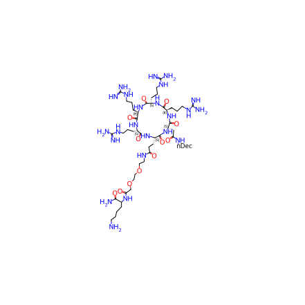 CCCCCCCCCCNC(=O)C[C@@H]1NC(=O)[C@H](CCC(=O)NCCOCCOCC(=O)NC(CCCCN)C(N)=O)NC(=O)[C@H](CCCNC(=N)N)NC(=O)[C@@H](CCCNC(=N)N)NC(=O)[C@H](CCCNC(=N)N)NC(=O)[C@@H](CCCNC(=N)N)NC1=O